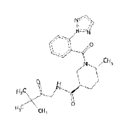 C[C@@H]1CC[C@@H](C(=O)NCC(=O)C(C)(C)C)CN1C(=O)c1ccccc1-n1nccn1